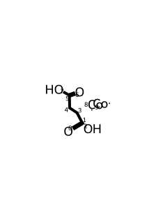 O=C(O)CCC(=O)O.[Co].[Co]